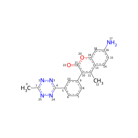 Cc1nnc(-c2cccc(-c3c(C)c4ccc(N)cc4oc3=O)c2)nn1